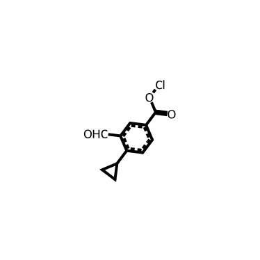 O=Cc1cc(C(=O)OCl)ccc1C1CC1